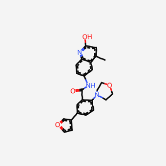 Cc1cc(O)nc2ccc(NC(=O)c3cc(-c4ccoc4)ccc3N3CCOCC3)cc12